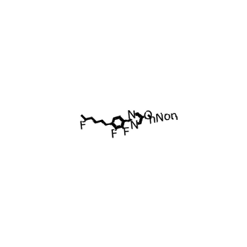 CCCCCCCCCOc1cnc(-c2ccc(CCCCC(C)F)c(F)c2F)nc1